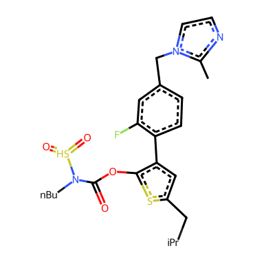 CCCCN(C(=O)Oc1sc(CC(C)C)cc1-c1ccc(Cn2ccnc2C)cc1F)[SH](=O)=O